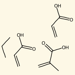 C=C(C)C(=O)O.C=CC(=O)O.C=CC(=O)O.CCC